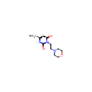 O=C(O)c1cc(=O)n(CCN2CCOCC2)c(=O)[nH]1